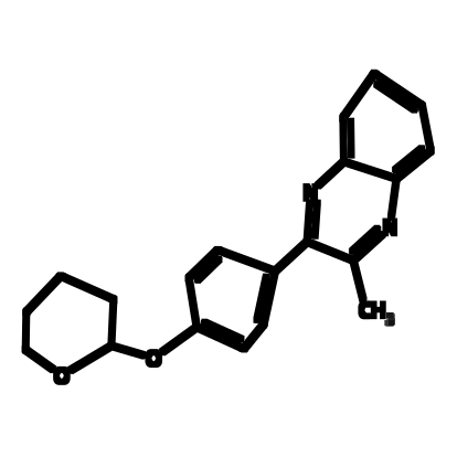 Cc1nc2ccccc2nc1-c1ccc(OC2CCCCO2)cc1